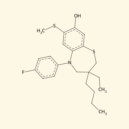 CCCCC1(CC)CSc2cc(O)c(SC)cc2N(c2ccc(F)cc2)C1